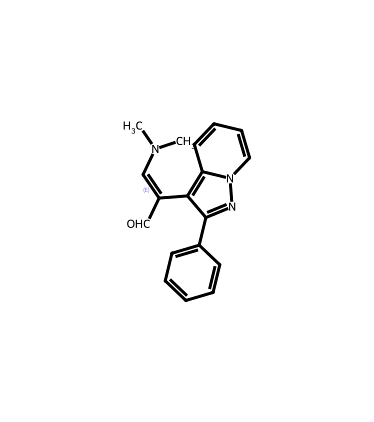 CN(C)/C=C(/C=O)c1c(-c2ccccc2)nn2ccccc12